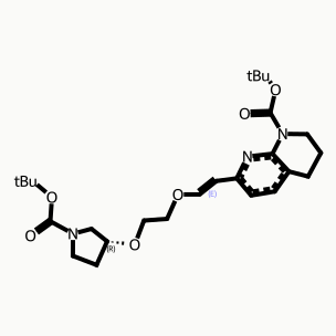 CC(C)(C)OC(=O)N1CC[C@@H](OCCO/C=C/c2ccc3c(n2)N(C(=O)OC(C)(C)C)CCC3)C1